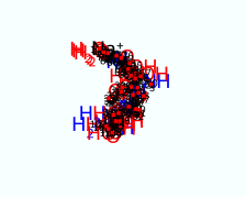 CC(C)(C)NCC(O)c1ccc(O)c(CO)c1.CCOc1nc2cccc(C(=O)OC(C)OC(=O)OC3CCCCC3)c2n1Cc1ccc(-c2ccccc2-c2nnn[nH]2)cc1.CC[C@@]1(O)C(=O)OCc2c1cc1n(c2=O)Cc2cc3ccccc3nc2-1.NCCCC(O)(P(=O)(O)O)P(=O)(O)O.NCCCC(O)(P(=O)([O-])O)P(=O)(O)O.O.O.O.[Na+]